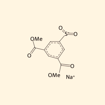 COC(=O)c1cc(C(=O)OC)cc([S-](=O)=O)c1.[Na+]